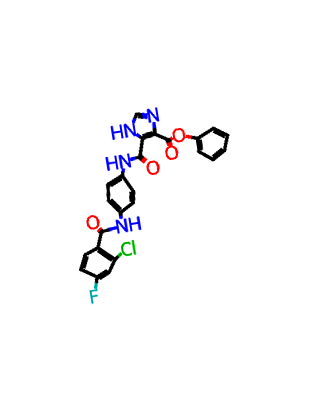 O=C(Nc1ccc(NC(=O)c2[nH]cnc2C(=O)Oc2ccccc2)cc1)c1ccc(F)cc1Cl